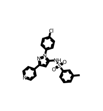 Cc1cccc(S(=O)(=O)Nc2cc(-c3ccncc3)nn2-c2ccc(Cl)cc2)c1